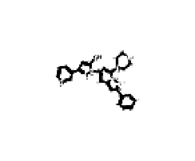 Oc1cc(-c2cccnc2)nn1-c1cc(N2CCOCC2)n2nc(-c3ccccc3)cc2c1